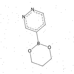 c1cc(B2OCCCO2)cnn1